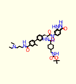 CCN(CC)CCCNC(=O)c1ccc(-c2ccc(C[C@H](NC(=O)C3CCC(CNC(=O)OC(C)(C)C)CC3)C(=O)Nc3ccc4c(=O)[nH][nH]c4c3)cc2)c(C)c1